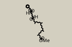 COC(=O)CCC(C)CCCC(C)CCCCC(C)CCCC(C)CCC(=O)NCCNC(=O)OCc1ccccc1